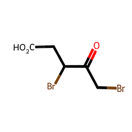 O=C(O)CC(Br)C(=O)CBr